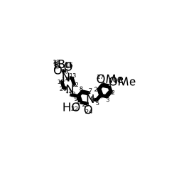 COc1ccc(Cn2ccc(CN3CCN(C(=O)OC(C)(C)C)CC3)c(O)c2=O)cc1OC